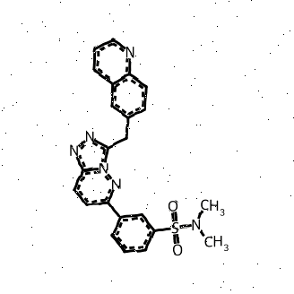 CN(C)S(=O)(=O)c1cccc(-c2ccc3nnc(Cc4ccc5ncccc5c4)n3n2)c1